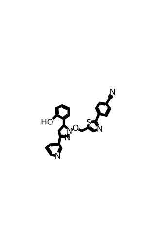 N#Cc1ccc(-c2ncc(CON3N=C(c4cccnc4)CC3c3ccccc3O)s2)cc1